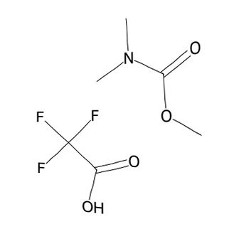 COC(=O)N(C)C.O=C(O)C(F)(F)F